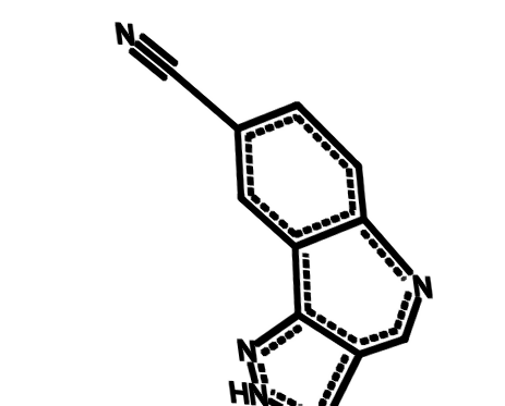 N#Cc1ccc2ncc3c[nH]nc3c2c1